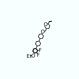 C=CC1CCC(COC2CCC(C3CCC(c4ccc(OCC)c(F)c4F)CC3)CC2)CO1